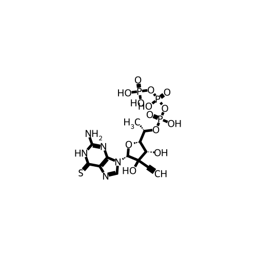 C#CC1(O)[C@@H](O)[C@@H]([C@H](C)OP(=O)(O)OP(=O)(O)OP(=O)(O)O)O[C@H]1n1cnc2c(=S)[nH]c(N)nc21